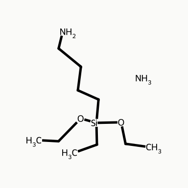 CCO[Si](CC)(CCCCN)OCC.N